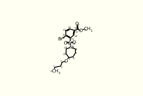 CCCCOC1CCCN(S(=O)(=O)c2cc(C(=O)OC)ccc2Br)CC1